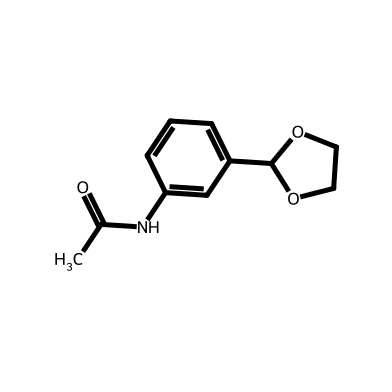 CC(=O)Nc1cccc(C2OCCO2)c1